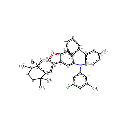 Cc1cc(Cl)cc(N(c2ccc3oc4cc5c(cc4c3c2)C(C)(C)CCC5(C)C)c2ccc(C(C)(C)C)cc2-c2ccccc2)c1